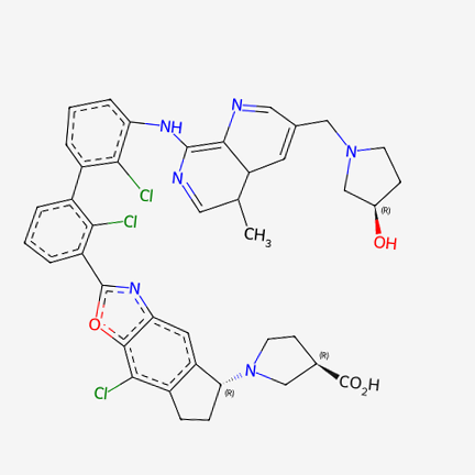 CC1C=NC(Nc2cccc(-c3cccc(-c4nc5cc6c(c(Cl)c5o4)CC[C@H]6N4CC[C@@H](C(=O)O)C4)c3Cl)c2Cl)=C2N=CC(CN3CC[C@@H](O)C3)=CC21